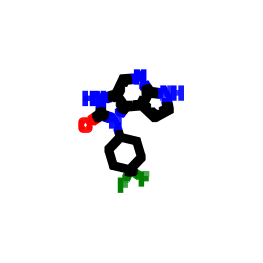 O=c1[nH]c2cnc3[nH]ccc3c2n1C1CCC(F)(F)CC1